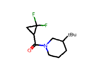 CC(C)(C)C1CCCN(C(=O)C2CC2(F)F)C1